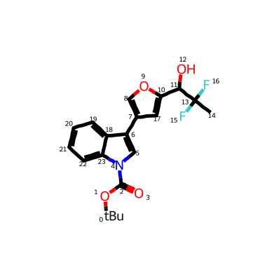 CC(C)(C)OC(=O)n1cc(-c2coc(C(O)C(C)(F)F)c2)c2ccccc21